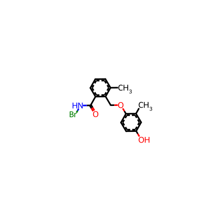 Cc1cc(O)ccc1OCc1c(C)cccc1C(=O)NBr